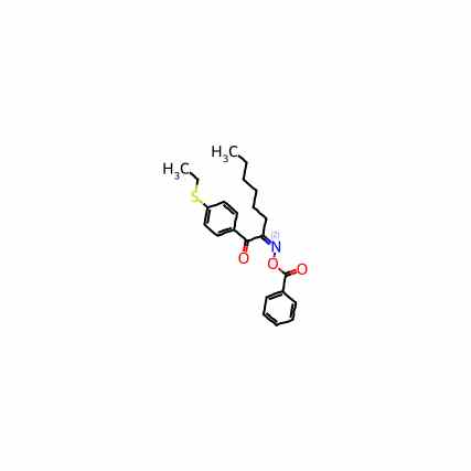 CCCCCC/C(=N/OC(=O)c1ccccc1)C(=O)c1ccc(SCC)cc1